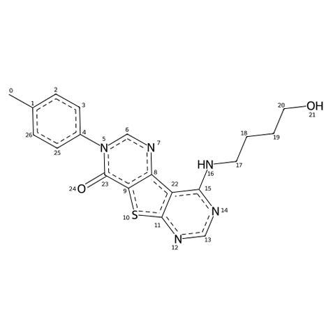 Cc1ccc(-n2cnc3c(sc4ncnc(NCCCCO)c43)c2=O)cc1